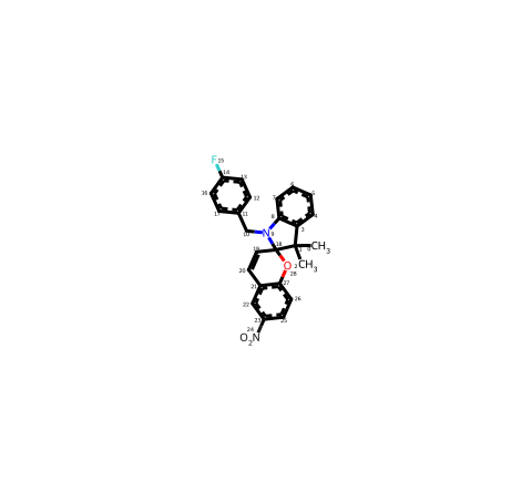 CC1(C)c2ccccc2N(Cc2ccc(F)cc2)C12C=Cc1cc([N+](=O)[O-])ccc1O2